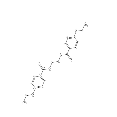 CCOc1ccc(C(=O)OCCOC(=O)c2ccc(OCC)cc2)cc1